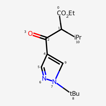 CCOC(=O)C(C(=O)c1cnn(C(C)(C)C)c1)C(C)C